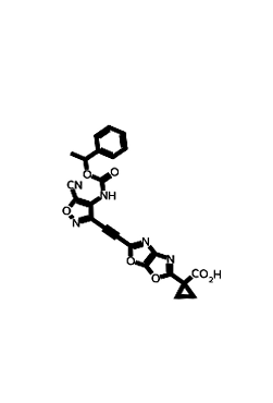 CC(OC(=O)Nc1c(C#Cc2nc3nc(C4(C(=O)O)CC4)oc3o2)noc1C#N)c1ccccc1